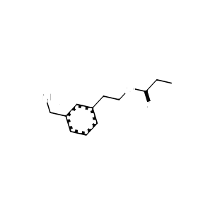 CCC(=O)OCCc1cccc(CN)c1